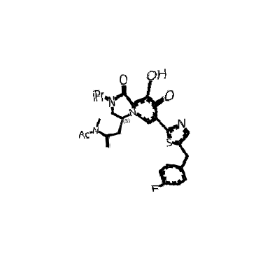 CC(=O)N(C)C(C)C[C@H]1CN(C(C)C)C(=O)c2c(O)c(=O)c(-c3ncc(Cc4ccc(F)cc4)s3)cn21